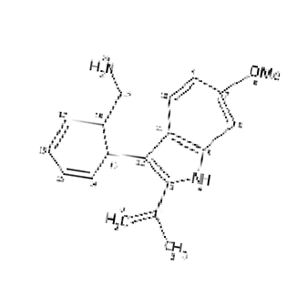 C=C(C)c1[nH]c2cc(OC)ccc2c1C1C=CC=CC1CN